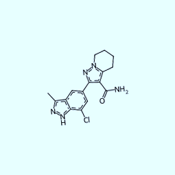 Cc1n[nH]c2c(Cl)cc(-c3nn4c(c3C(N)=O)CCCC4)cc12